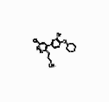 CCCCc1nnc(Cl)cc1-c1ccc(OC2CCCCC2)c(Br)c1